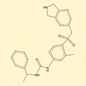 Cc1cc(NC(=O)NC(C)c2ccccc2)ccc1S(=O)(=O)Cc1ccc2c(c1)CNC2